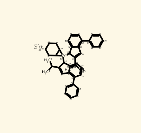 CC(C)C1=Cc2c(-c3ccccc3)cccc2[CH]1[Zr+2]1([CH]2C(C(C)C)=Cc3c(-c4ccccc4)cccc32)[CH]2CCCC[CH]21.[Cl-].[Cl-]